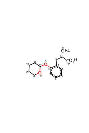 CC(=O)O[C@@H](Cc1ccccc1OC1CCCCO1)C(=O)O